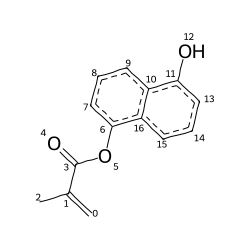 C=C(C)C(=O)Oc1cccc2c(O)cccc12